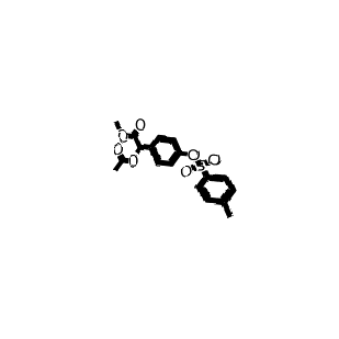 COC(=O)C(OC(C)=O)c1ccc(OS(=O)(=O)c2ccc(C)cc2)cc1